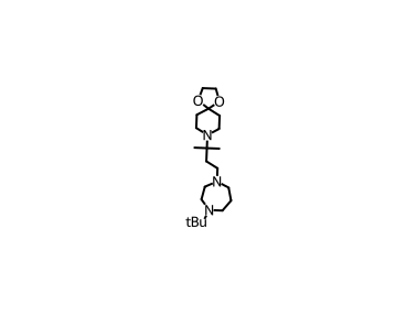 CC(C)(C)N1CCCN(CCC(C)(C)N2CCC3(CC2)OCCO3)CC1